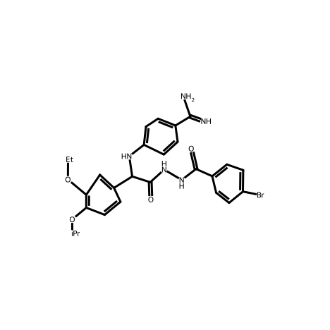 CCOc1cc(C(Nc2ccc(C(=N)N)cc2)C(=O)NNC(=O)c2ccc(Br)cc2)ccc1OC(C)C